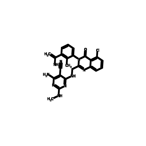 C=C(N)c1cccc(-n2c(CNc3nc(NC)nc(N)c3C#N)nc3cccc(Cl)c3c2=O)c1C